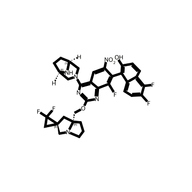 O=[N+]([O-])c1cc2c(N3C[C@H]4CC[C@@H](C3)N4)nc(OC[C@]34CCCN3C[C@]3(CC3(F)F)C4)nc2c(F)c1-c1c(O)ccc2c(F)c(F)ccc12